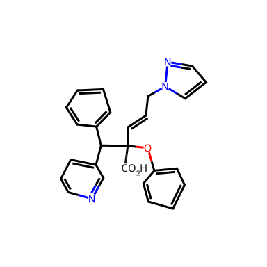 O=C(O)C(C=CCn1cccn1)(Oc1ccccc1)C(c1ccccc1)c1cccnc1